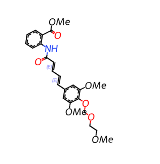 COCCOCOc1c(OC)cc(/C=C/C=C/C(=O)Nc2ccccc2C(=O)OC)cc1OC